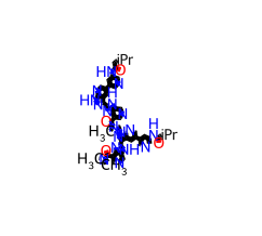 CC(C)CC(=O)Nc1cncc(-c2cnc3[nH]nc(-c4nc5c(C(=O)N(C)Cn6nc(-c7nc8c(C(=O)N(C)C)cncc8[nH]7)c7cc(-c8cncc(NC(=O)C(C)C)c8)cnc76)cncc5[nH]4)c3c2)c1